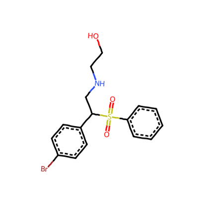 O=S(=O)(c1ccccc1)C(CNCCO)c1ccc(Br)cc1